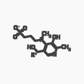 Cc1ncc(CO)c(N(C)CCCS(=O)(=O)[O-])c1O.[K+]